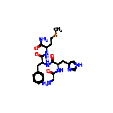 CSCCC(NC(=O)C(Cc1ccccc1)NC(=O)C(Cc1c[nH]cn1)NC(=O)CN)C(N)=O